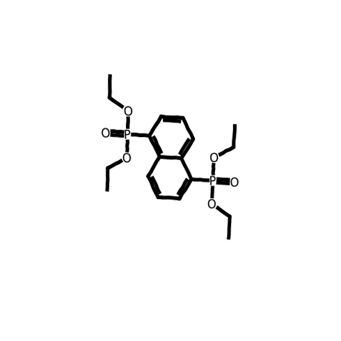 CCOP(=O)(OCC)c1cccc2c(P(=O)(OCC)OCC)cccc12